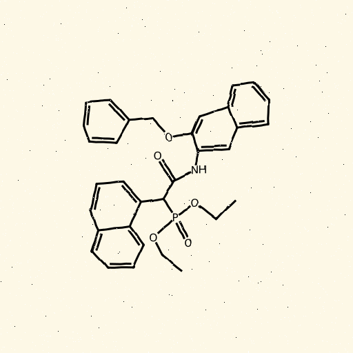 CCOP(=O)(OCC)C(C(=O)Nc1cc2ccccc2cc1OCc1ccccc1)c1cccc2ccccc12